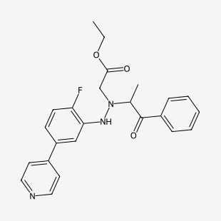 CCOC(=O)CN(Nc1cc(-c2ccncc2)ccc1F)C(C)C(=O)c1ccccc1